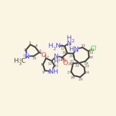 CN1CCCC(OC2CCNCC2NC(=O)C(C(N)N)C2CC3(CCCCCC3)CCC(Cl)CN2)C1